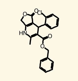 CC1=C(C(=O)OCc2ccccc2)C(c2ccccc2Cl)C2=C(COC2=O)N1